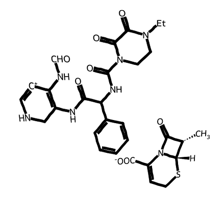 CCN1CCN(C(=O)NC(C(=O)NC2=C(NC=O)[C+]=CNC2)c2ccccc2)C(=O)C1=O.C[C@H]1C(=O)N2C(C(=O)[O-])=CCS[C@@H]12